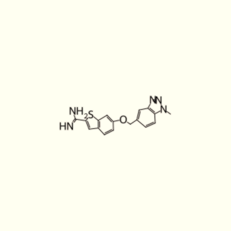 Cn1nnc2cc(COc3ccc4cc(C(=N)N)sc4c3)ccc21